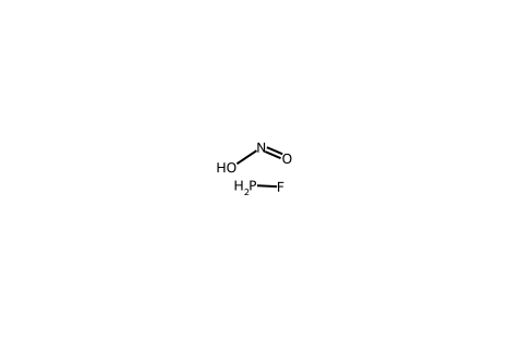 FP.O=NO